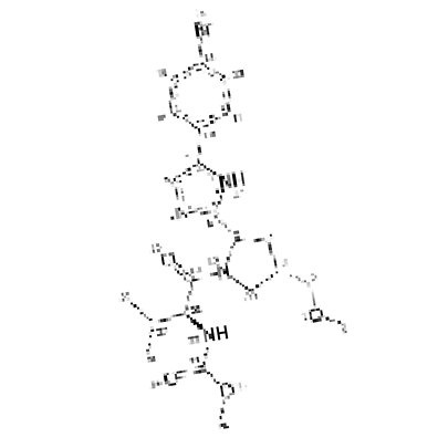 COC[C@H]1C[C@@H](c2ncc(-c3ccc(Br)cc3)[nH]2)N(C(=O)[C@@H](NC(=O)OC)C(C)C)C1